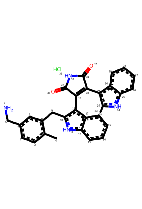 Cc1ccc(CN)cc1Cc1[nH]c2ccccc2c1C1=C(c2c(C)[nH]c3ccccc23)C(=O)NC1=O.Cl